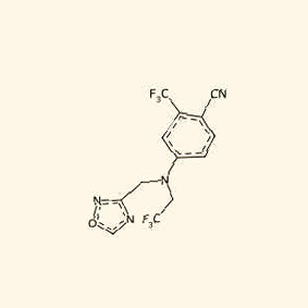 N#Cc1ccc(N(Cc2ncon2)CC(F)(F)F)cc1C(F)(F)F